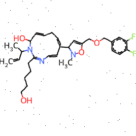 C=CC(C)N1/C(CCCCCO)=N\C=C\C(C2C=C(COCc3ccc(F)c(F)c3)ON2C)=CC/C=C/C1O